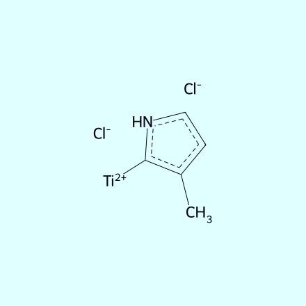 Cc1cc[nH][c]1[Ti+2].[Cl-].[Cl-]